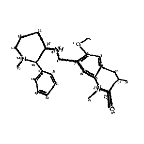 COc1cc2c(cc1CNC1CCCN(C)C1c1ccccc1)N(C)C(=O)C(C)C2